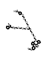 Cn1cc(/C=N/OCCOCCOCCOCC(COCCOCCOCCOc2ccc([SiH](C)C)cc2)OCCOCCOCCN2Cc3ccccc3C3C(N=NN3c3ccc(N=C=S)cc3)c3ccccc32)c2ccccc21